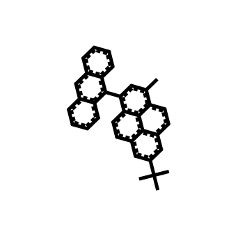 Cc1cc(-c2c3ccccc3cc3ccccc23)c2ccc3cc(C(C)(C)C)cc4ccc1c2c43